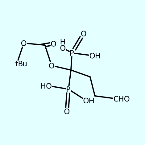 CC(C)(C)OC(=O)OC(CCC=O)(P(=O)(O)O)P(=O)(O)O